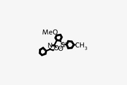 COc1ccc([S@+]([O-])c2ccc(C)cc2)c(C2=NC(c3ccccc3)CO2)c1